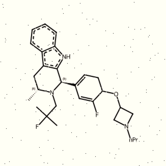 CCCN1CC(OC2CC=C([C@@H]3c4[nH]c5ccccc5c4C[C@@H](C)N3CC(C)(C)F)C=C2F)C1